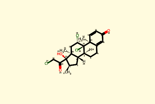 C[C@@H]1C[C@H]2[C@@H]3CCC4=CC(=O)C=C[C@]4(C)[C@@]3(Cl)[C@@H](Cl)C[C@]2(C)[C@@]1(O)C(=O)CCl